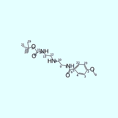 COc1ccc(C(=O)NCCNCCNC(=O)OC(C)(C)C)cc1